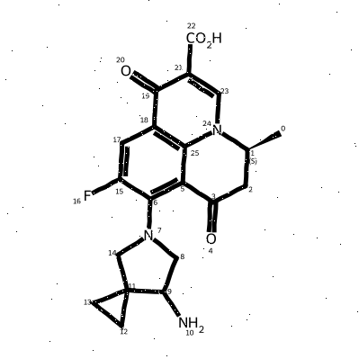 C[C@H]1CC(=O)c2c(N3CC(N)C4(CC4)C3)c(F)cc3c(=O)c(C(=O)O)cn1c23